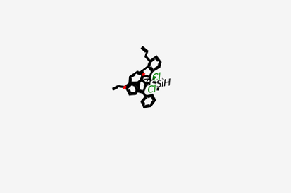 C=CCc1cccc2c1C=C(c1ccccc1)[CH]2[Zr]([Cl])([Cl])([CH]1C(c2ccccc2)=Cc2c(CC=C)cccc21)[SiH](C)C